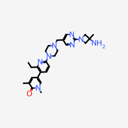 CCc1nc(N2CCN(Cc3cnc(N4CC(C)(N)C4)nc3)CC2)ccc1-c1cc(C)c(=O)n(C)c1